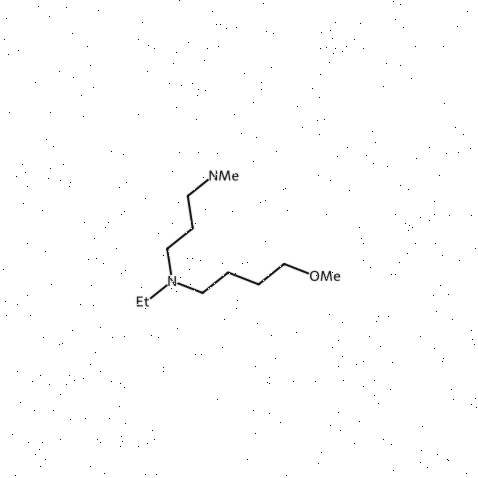 CCN(CCCCOC)CCCNC